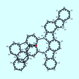 c1ccc(-c2cccc(-n3c4ccccc4c4ccc5c6c7oc8ccccc8c7ccc6n(-c6ccc7c(c6)-c6cccc8cccc-7c68)c5c43)c2)cc1